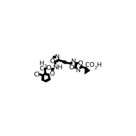 CC(OC(=O)Nc1ocnc1C#Cc1nc2oc(C3(C(=O)O)CC3)nc2o1)c1ccccc1Cl